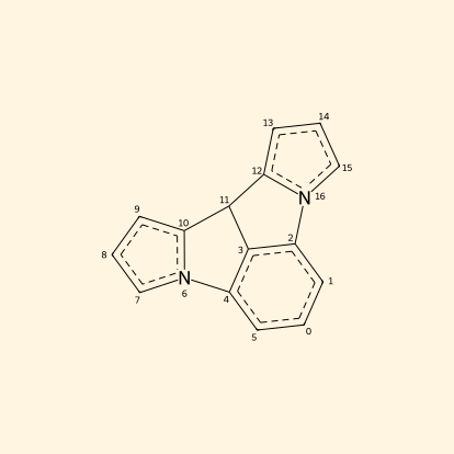 c1cc2c3c(c1)-n1cccc1C3c1cccn1-2